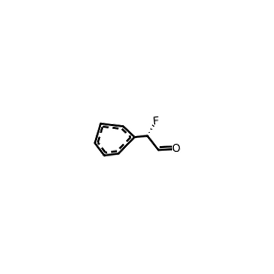 O=C[C@@H](F)c1ccccc1